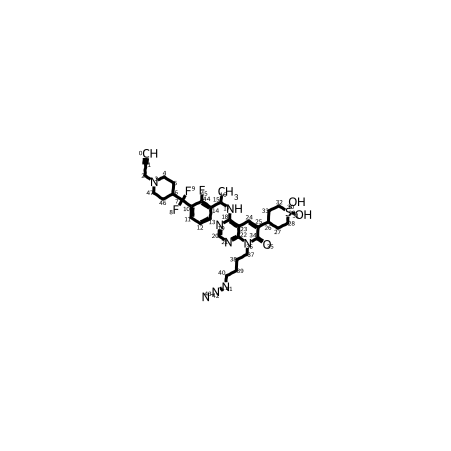 C#CCN1CCC(C(F)(F)c2cccc(C(C)Nc3ncnc4c3cc(C3CCS(O)(O)CC3)c(=O)n4CCCCN=[N+]=[N-])c2F)CC1